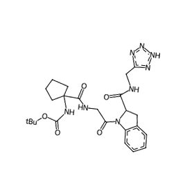 CC(C)(C)OC(=O)NC1(C(=O)NCC(=O)N2c3ccccc3CC2C(=O)NCc2nn[nH]n2)CCCC1